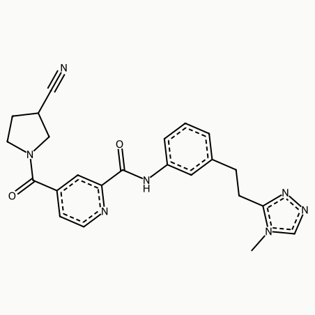 Cn1cnnc1CCc1cccc(NC(=O)c2cc(C(=O)N3CCC(C#N)C3)ccn2)c1